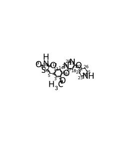 COc1cc(C=C2SC(=O)NC2=O)ccc1Oc1cc(OC2CCNCC2)ncn1